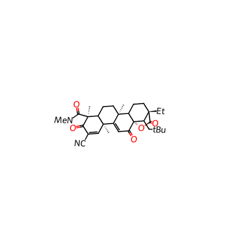 CC[C@@]12CCC3[C@](OC1=O)(C(=O)C=C1[C@@]4(C)C=C(C#N)C(=O)[C@@](C)(C(=O)NC)C4CC[C@]13C)C2CC(C)(C)C